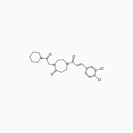 O=C(C=Cc1ccc(Cl)c(Cl)c1)N1CCC(=O)N(CC(=O)N2CCCCC2)CC1